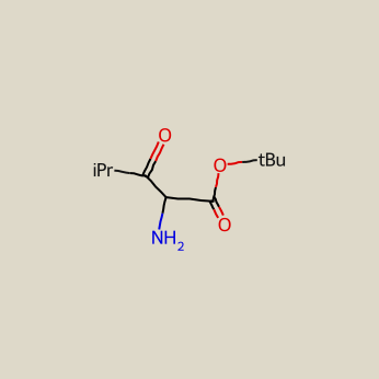 CC(C)C(=O)C(N)C(=O)OC(C)(C)C